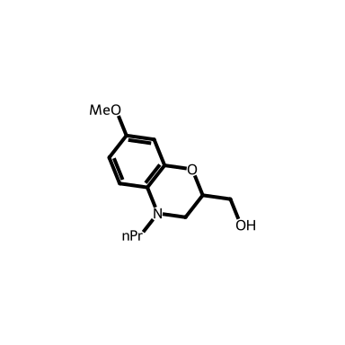 CCCN1CC(CO)Oc2cc(OC)ccc21